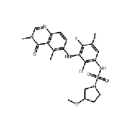 COC1CCN(S(=O)(=O)Nc2cc(F)c(F)c(Nc3ccc4ncn(C)c(=O)c4c3C)c2Cl)C1